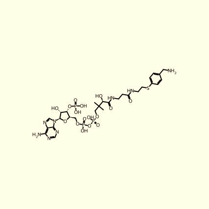 CC(C)(COP(=O)(O)OP(=O)(O)OC[C@H]1O[C@@H](n2cnc3c(N)ncnc32)[C@H](O)[C@@H]1OP(=O)(O)O)[C@@H](O)C(=O)NCCC(=O)NCCSc1ccc(CN)cc1